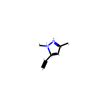 C#Cc1cc(C)nn1C